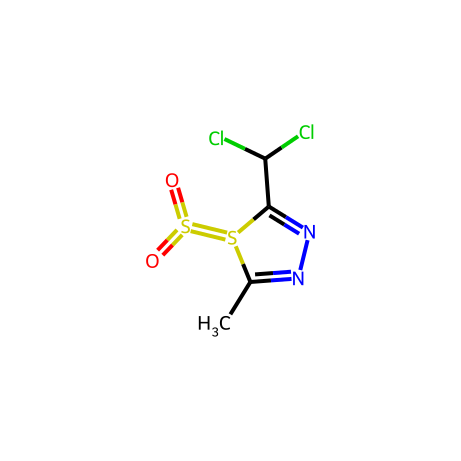 CC1=NN=C(C(Cl)Cl)S1=S(=O)=O